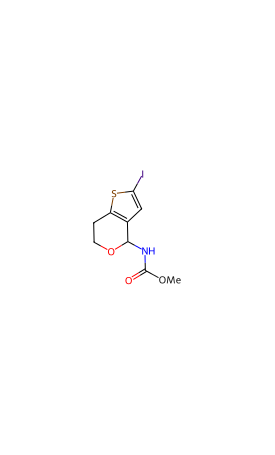 COC(=O)NC1OCCc2sc(I)cc21